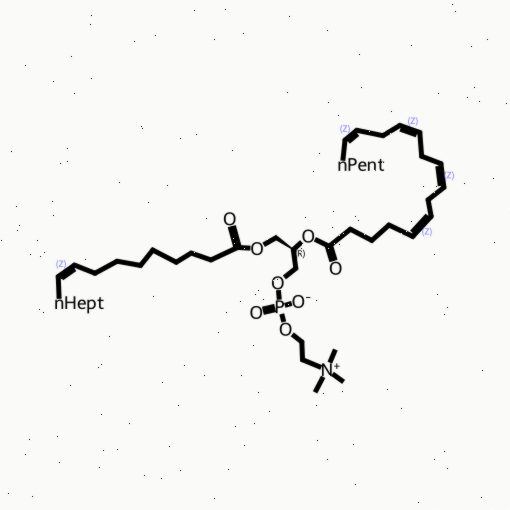 CCCCC/C=C\C/C=C\C/C=C\C/C=C\CCCC(=O)O[C@H](COC(=O)CCCCCCC/C=C\CCCCCCC)COP(=O)([O-])OCC[N+](C)(C)C